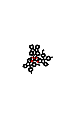 C=Cc1ccc(C2(c3ccc(C)cc3)c3ccccc3-c3ccc(N(c4ccc5c(c4)C4(c6ccccc6-5)c5ccccc5-c5ccc(N(c6ccc7c(c6)C(c6ccc(C)cc6)(c6ccc(C=C)cc6)c6ccccc6-7)c6ccccc6F)cc54)c4ccccc4F)cc32)cc1